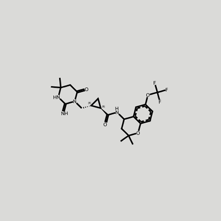 CC1(C)CC(=O)N(C[C@@H]2C[C@H]2C(=O)NC2CC(C)(C)Oc3ccc(OC(F)(F)F)cc32)C(=N)N1